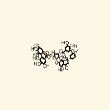 C[C@H]1[C@H](OC(=O)c2cc(O)c(O)c(O)c2)[C@@H](O)[C@H](Oc2cc(O)c3c(c2)O[C@H](c2ccccc2)CC3=O)O[C@@H]1COC(=O)c1cc(O)c(O)c(O)c1-c1c(C(=O)O)cc(O)c(O)c1O